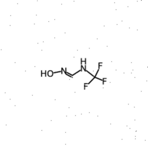 ON=[C]NC(F)(F)F